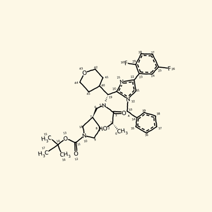 C[C@H](O)C(=O)N(C[C@H]1CCN(C(=O)OC(C)(C)C)C1)[C@@H](c1nc(-c2cc(F)ccc2F)cn1Cc1ccccc1)C1CCOCC1